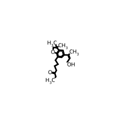 CCC(=O)CCCCc1cc(/C(C)=C\CO)cc2c1OCC2(C)C